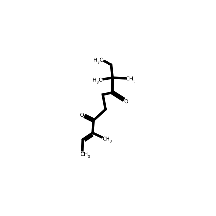 C/C=C(\C)C(=O)CCC(=O)C(C)(C)CC